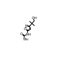 CC(C)(C)C(=O)Nc1cc(C(C)(C)CO)no1